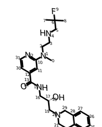 CN(CCNCC(C)(C)F)c1cc(C(=O)NC[C@H](O)CN2CCc3ccccc3C2)ccn1